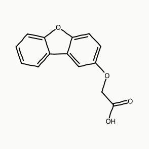 O=C(O)COc1ccc2oc3ccccc3c2c1